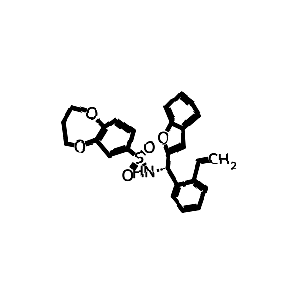 C=Cc1ccccc1[C@H](NS(=O)(=O)c1ccc2c(c1)OCCCO2)c1cc2ccccc2o1